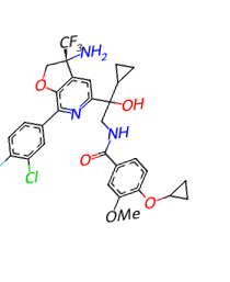 COc1cc(C(=O)NCC(O)(c2cc3c(c(-c4ccc(F)c(Cl)c4)n2)OC[C@@]3(N)C(F)(F)F)C2CC2)ccc1OC1CC1